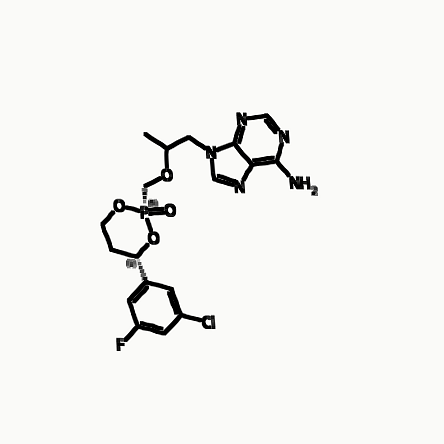 CC(Cn1cnc2c(N)ncnc21)OC[P@@]1(=O)OCC[C@@H](c2cc(F)cc(Cl)c2)O1